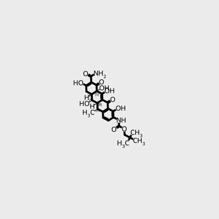 C[C@H]1c2ccc(NC(=O)OCC(C)(C)C)c(O)c2C(=O)C2=C(O)[C@]3(O)C(=O)C(C(N)=O)=C(O)C[C@@H]3[C@@H](O)[C@@H]21